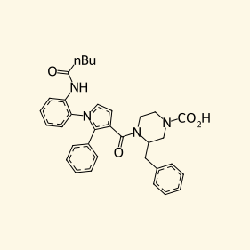 CCCCC(=O)Nc1ccccc1-n1ccc(C(=O)N2CCN(C(=O)O)CC2Cc2ccccc2)c1-c1ccccc1